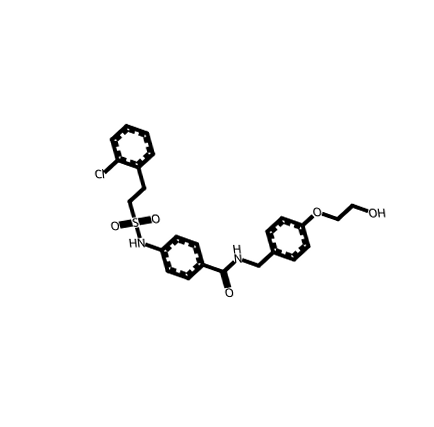 O=C(NCc1ccc(OCCO)cc1)c1ccc(NS(=O)(=O)CCc2ccccc2Cl)cc1